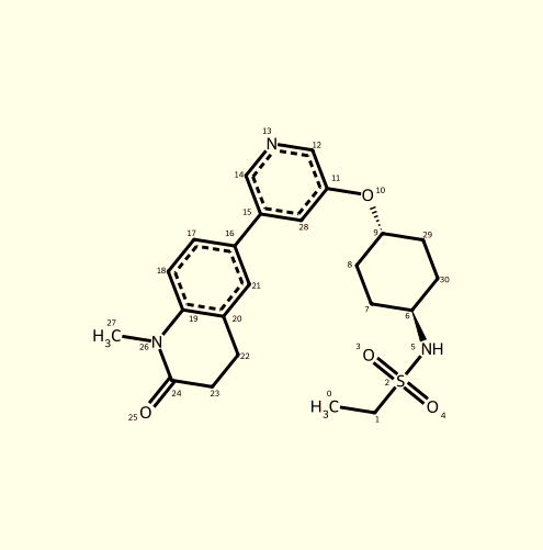 CCS(=O)(=O)N[C@H]1CC[C@H](Oc2cncc(-c3ccc4c(c3)CCC(=O)N4C)c2)CC1